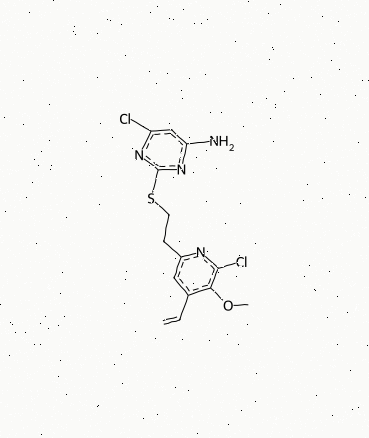 C=Cc1cc(CCSc2nc(N)cc(Cl)n2)nc(Cl)c1OC